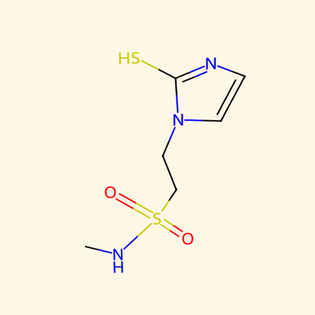 CNS(=O)(=O)CCn1ccnc1S